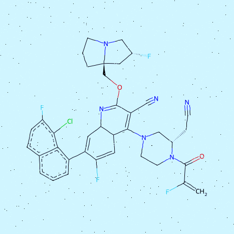 C=C(F)C(=O)N1CCN(C2=C(C#N)C(OC[C@@]34CCCN3C[C@H](F)C4)=NC3C=C(c4cccc5ccc(F)c(Cl)c45)C(F)=CC23)C[C@@H]1CC#N